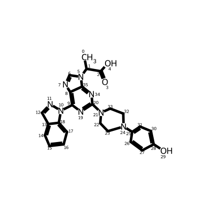 CC(C(=O)O)n1cnc2c(-n3ncc4ccccc43)nc(N3CCN(c4ccc(O)cc4)CC3)nc21